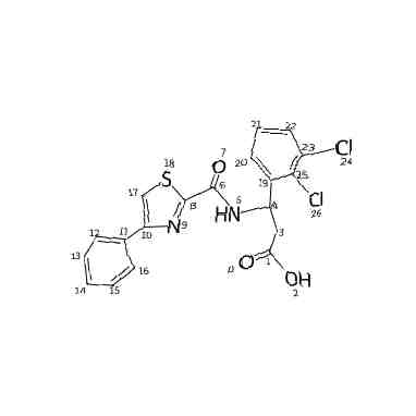 O=C(O)CC(NC(=O)c1nc(-c2ccccc2)cs1)c1cccc(Cl)c1Cl